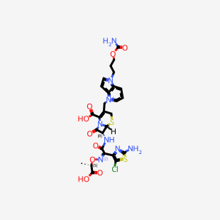 C[C@H](O/N=C(\C(=O)N[C@@H]1C(=O)N2C(C(=O)O)=C(C[n+]3cccc4c3ccn4CCCOC(N)=O)CS[C@H]12)c1nc(N)sc1Cl)C(=O)O